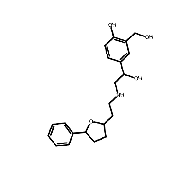 OCc1cc(C(O)CNCCC2CCC(c3ccccc3)O2)ccc1O